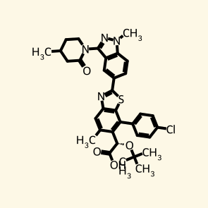 Cc1cc2nc(-c3ccc4c(c3)c(N3CCC(C)CC3=O)nn4C)sc2c(-c2ccc(Cl)cc2)c1[C@H](OC(C)(C)C)C(=O)O